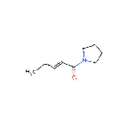 CC/C=C/C(=O)N1CCCC1